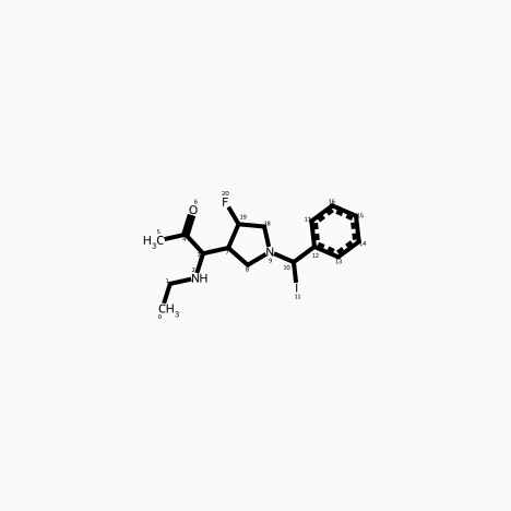 CCNC(C(C)=O)C1CN(C(I)c2ccccc2)CC1F